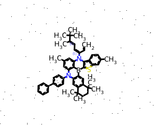 C=C/C(=C\C=C(/C)C(C)(C)C)N1c2cc(C)cc3c2B(c2cc4c(cc2N3c2ccc(-c3ccccc3)cc2)C(C)(C)CCC4(C)C)c2sc3cc(C)ccc3c21